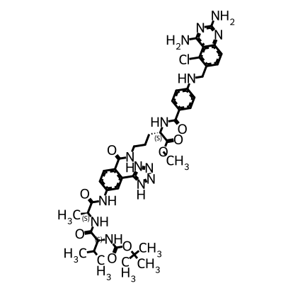 COC(=O)[C@H](CCCNC(=O)c1ccc(NC(=O)[C@H](C)NC(=O)[C@@H](NC(=O)OC(C)(C)C)C(C)C)cc1-c1nnn[nH]1)NC(=O)c1ccc(NCc2ccc3nc(N)nc(N)c3c2Cl)cc1